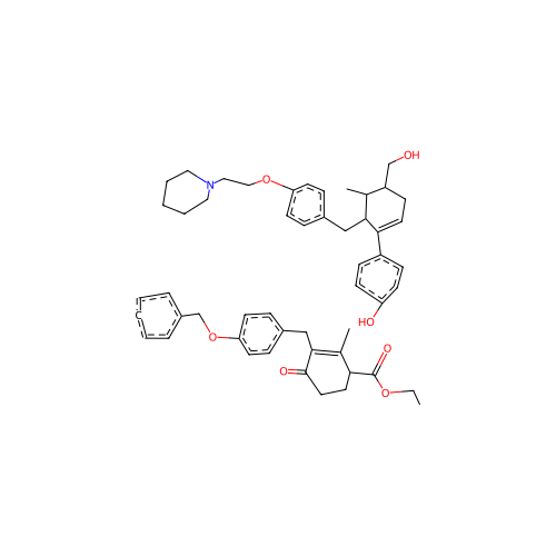 CC1C(CO)CC=C(c2ccc(O)cc2)C1Cc1ccc(OCCN2CCCCC2)cc1.CCOC(=O)C1CCC(=O)C(Cc2ccc(OCc3ccccc3)cc2)=C1C